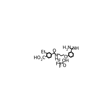 CCc1cc(C(=O)NCCCOc2cccc(C(=N)N)c2)ccc1C(=O)O.O=C(O)C(F)(F)F